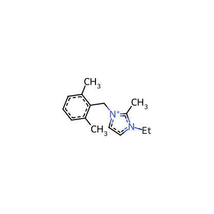 CCn1cc[n+](Cc2c(C)cccc2C)c1C